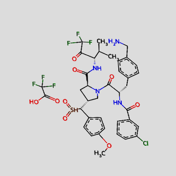 COc1ccc(C([C@@H]2C[C@@H](C(=O)N[C@H](C(=O)C(F)(F)F)C(C)C)N(C(=O)[C@H](Cc3ccc(CN)cc3)NC(=O)c3cccc(Cl)c3)C2)[SH](=O)=O)cc1.O=C(O)C(F)(F)F